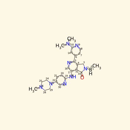 CBN1Cc2c(-c3ccnc(N(C)C)c3)ncc(Nc3ccc(N4CCN(C)CC4)cn3)c2C1=O